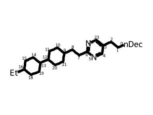 CCCCCCCCCCCCc1cnc(CCC2CCC(C3CCC(CC)CC3)CC2)nc1